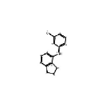 Clc1cccc(Nc2cccc3c2CCC3)c1